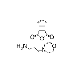 C=C.C=CC.NCCCN1CCOCC1.O=C1CCC(=O)O1